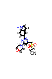 N#CCCS(=O)(=O)Cc1cc(N2CCOCC2)nc(-c2ccc3[nH]ccc3c2)n1